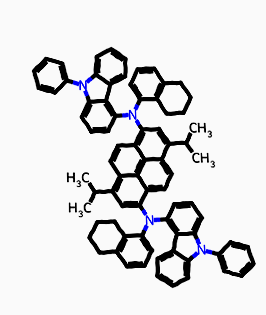 CC(C)c1cc(N(c2cccc3c2CCCC3)c2cccc3c2c2ccccc2n3-c2ccccc2)c2ccc3c(C(C)C)cc(N(c4cccc5c4CCCC5)c4cccc5c4c4ccccc4n5-c4ccccc4)c4ccc1c2c34